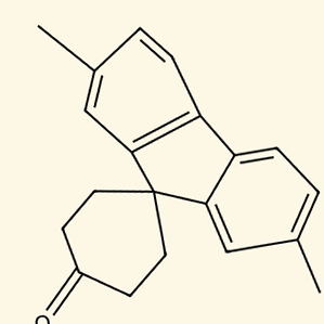 Cc1ccc2c(c1)C1(CCC(=O)CC1)c1cc(C)ccc1-2